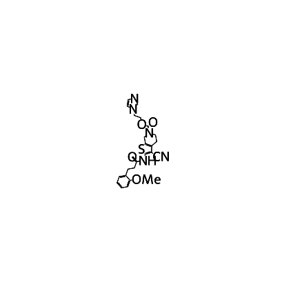 COc1ccccc1CCC(=O)Nc1sc2c(c1C#N)CCN(C(=O)OCCn1ccnc1)C2